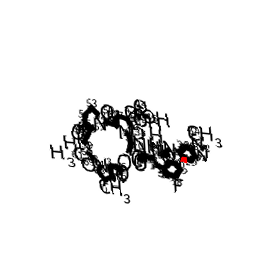 C[C@@H]1C[C@H]2C(=O)O[C@@H](C)[C@H](NC(=O)[C@H](Cc3cc(F)cc(F)c3)NC(=O)Nc3ccc4ncn(C)c4c3)C(=O)N3C[C@H](OP(=O)(O)O)C[C@H]3C(=O)N3CCCC[C@H]3C(=O)N[C@@H](C)C(=O)N2C1